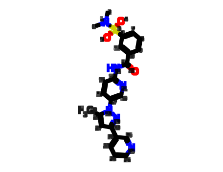 CN(C)S(=O)(=O)c1cccc(C(=O)Nc2ccc(-n3nc(-c4cccnc4)cc3C(F)(F)F)cn2)c1